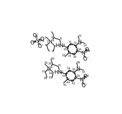 CC[N+](C)(CC)C(C)CNc1cc(N(C)C)c([N+](=O)[O-])cc1C.CC[N+](C)(CC)C(C)CNc1cc(N(C)C)c([N+](=O)[O-])cc1C.O=S(=O)([O-])[O-]